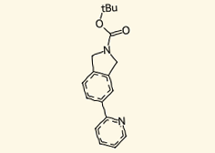 CC(C)(C)OC(=O)N1Cc2ccc(-c3ccccn3)cc2C1